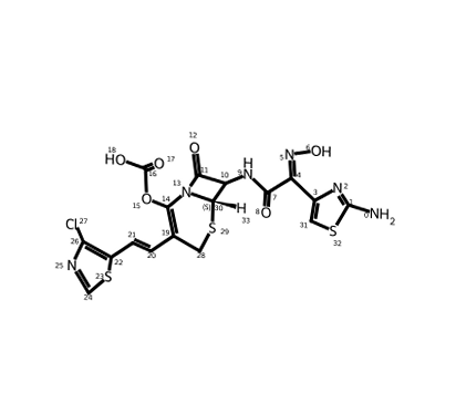 Nc1nc(C(=NO)C(=O)NC2C(=O)N3C(OC(=O)O)=C(C=Cc4scnc4Cl)CS[C@@H]23)cs1